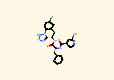 O=C(N[C@@H](Cc1ccccc1)C(=O)NCCc1cc(Cl)ccc1N1C=NNN1)c1ccnc(O)c1